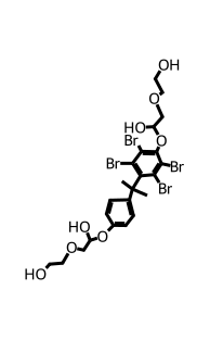 CC(C)(c1ccc(OC(O)COCCO)cc1)c1c(Br)c(Br)c(OC(O)COCCO)c(Br)c1Br